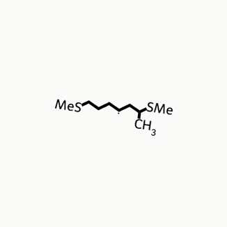 CSCCC[CH]CC(C)SC